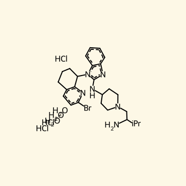 CC(C)C(N)CN1CCC(Nc2nc3ccccc3n2C2CCCc3ccc(Br)nc32)CC1.Cl.Cl.Cl.O.O.O